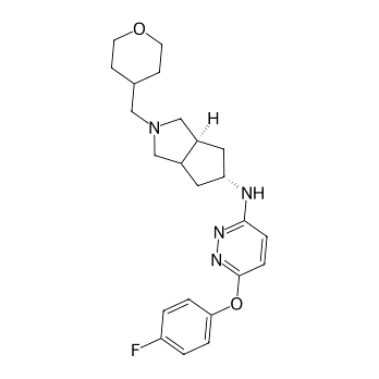 Fc1ccc(Oc2ccc(N[C@@H]3CC4CN(CC5CCOCC5)C[C@H]4C3)nn2)cc1